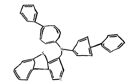 c1ccc(-c2ccc(N(c3ccc(-c4ccccc4)cc3)c3cncc4c3sc3ccccc34)cc2)cc1